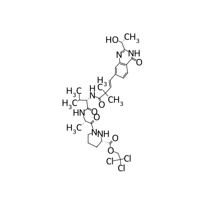 CC(C)[C@H](NC(=O)C(C)(C)/C=C/c1ccc2c(=O)[nH]c([C@@H](C)O)nc2c1)C(=O)N[C@@H](C)C(=O)N1CCC[C@@H](C(=O)OCC(Cl)(Cl)Cl)N1